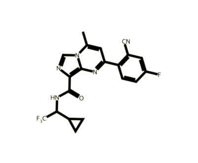 Cc1cc(-c2ccc(F)cc2C#N)nc2c(C(=O)NC(C3CC3)C(F)(F)F)ncn12